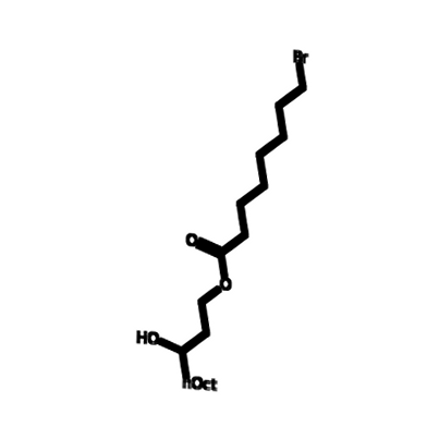 CCCCCCCCC(O)CCOC(=O)CCCCCCCBr